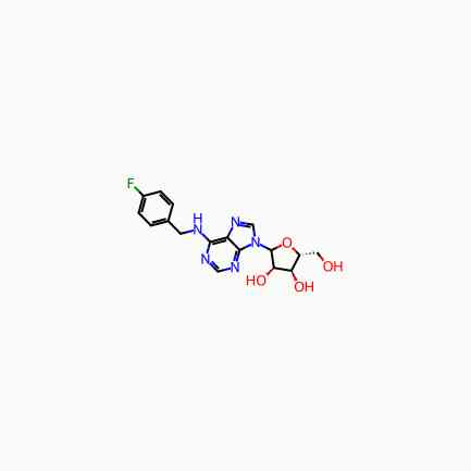 OC[C@H]1OC(n2cnc3c(NCc4ccc(F)cc4)ncnc32)[C@H](O)[C@@H]1O